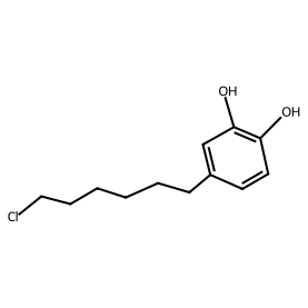 Oc1ccc(CCCCCCCl)cc1O